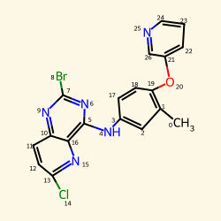 Cc1cc(Nc2nc(Br)nc3ccc(Cl)nc23)ccc1Oc1cccnc1